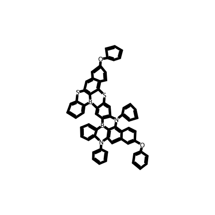 c1ccc(Oc2ccc3c4c5c(cc3c2)Sc2ccccc2B5c2cc3c(cc2S4)N(c2ccccc2)c2c4c(cc5cc(Oc6ccccc6)ccc25)N(c2ccccc2)c2ccccc2B34)cc1